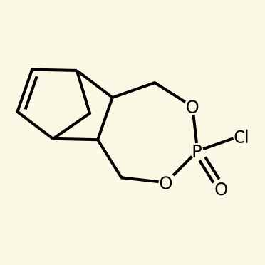 O=P1(Cl)OCC2C3C=CC(C3)C2CO1